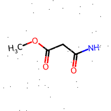 COC(=O)CC([NH])=O